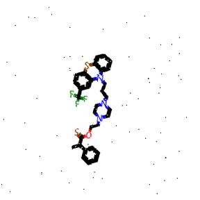 CC(C(=S)OCCN1CCN(CCCN2c3ccccc3Sc3ccc(C(F)(F)F)cc32)CC1)c1ccccc1